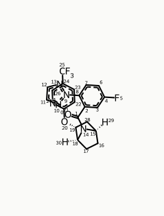 O=C(c1cc(F)ccc1-n1nccn1)N1[C@@H]2CC[C@H]1[C@H](Oc1ccc(C(F)(F)F)cn1)C2